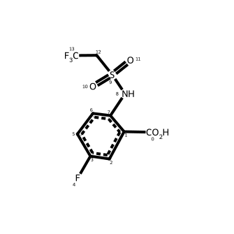 O=C(O)c1cc(F)ccc1NS(=O)(=O)CC(F)(F)F